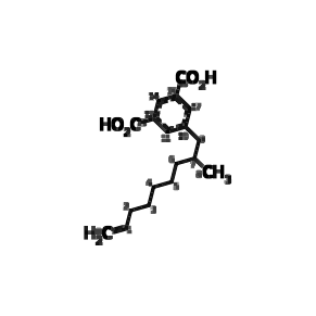 C=CCCCCCC(C)Cc1cc(C(=O)O)cc(C(=O)O)c1